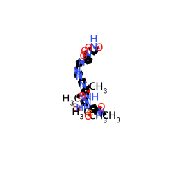 CCOc1cc(N2CCC(N3CCN(CC4CCN(c5cccc6c5oc(=O)n6C5CCC(=O)NC5=O)C4)CC3)CC2)c(CC)cc1Nc1ncc(Br)c(Nc2ccc3c(=O)n(CC)ncc3c2P(C)(C)=O)n1